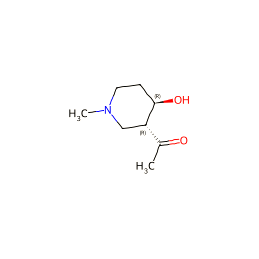 CC(=O)[C@@H]1CN(C)CC[C@H]1O